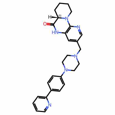 O=C1Nc2cc(CN3CCN(c4ccc(-c5ccccn5)cc4)CC3)cnc2N2CCCC[C@@H]12